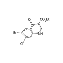 CCOC(=O)c1c[nH]c2cc(Cl)c(Br)cc2c1=O